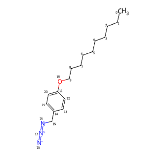 CCCCCCCCCCOc1ccc(CN=[N+]=[N-])cc1